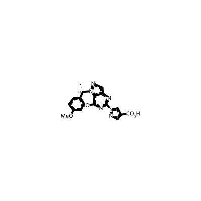 COc1ccc([C@H](C)n2ncc3nc(-n4cc(C(=O)O)cn4)nc(O)c32)cc1